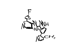 Cc1ccncc1-c1ccc2[nH]nc(-c3nc4c(-c5ccc(F)s5)cncc4[nH]3)c2c1